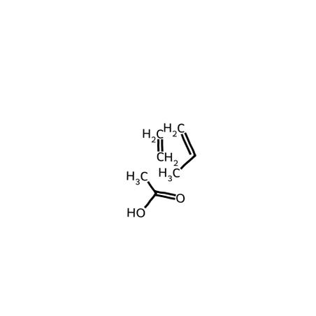 C=C.C=CC.CC(=O)O